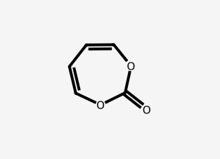 O=C1OC=CC=CO1